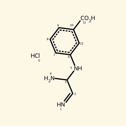 Cl.N=CC(N)Nc1cccc(C(=O)O)c1